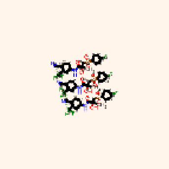 CC(O)(CS(=O)(=O)c1ccc(F)cc1)C(=O)Nc1ccc(C#N)c(C(F)(F)F)c1.CC(O)(CS(=O)(=O)c1ccc(F)cc1)C(=O)Nc1ccc(C#N)c(C(F)(F)F)c1.CC(O)(CS(=O)(=O)c1ccc(F)cc1)C(=O)Nc1ccc(C#N)c(C(F)(F)F)c1